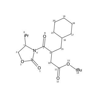 CC(C)C1COC(=O)N1C(=O)C(CC(=O)OC(C)(C)C)CC1CCCCC1